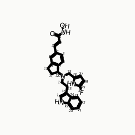 O=C(C=Cc1ccc2c(c1)CCC2N(CCc1c[nH]c2ccccc12)Cc1ccc(F)[nH]1)NO